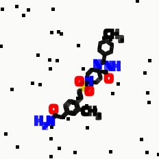 Cc1cc(CC(N)=O)ccc1C=CS(=O)(=O)N1CCC2(CC1)N=C(C1CCC(C)CC1)NC2=O